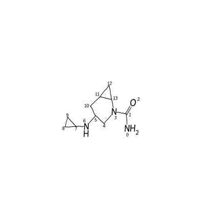 NC(=O)N1CC(NC2CC2)CC2CC21